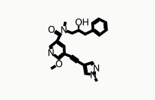 COc1ncc(C(=O)N(C)C[C@@H](O)Cc2ccccc2)cc1C#Cc1cnn(C)c1